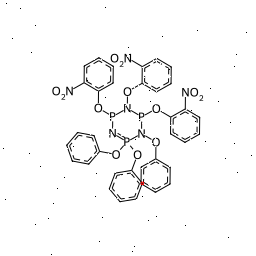 O=[N+]([O-])c1ccccc1ON1P(Oc2ccccc2[N+](=O)[O-])N=P(Oc2ccccc2)(Oc2ccccc2)N(Oc2ccccc2)P1Oc1ccccc1[N+](=O)[O-]